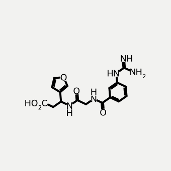 N=C(N)Nc1cccc(C(=O)NCC(=O)NC(CC(=O)O)c2ccoc2)c1